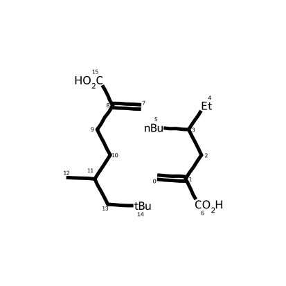 C=C(CC(CC)CCCC)C(=O)O.C=C(CCC(C)CC(C)(C)C)C(=O)O